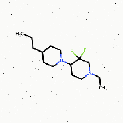 CCCC1CCN(C2CCN(CC)CC2(F)F)CC1